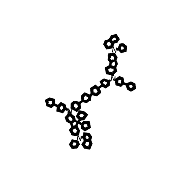 c1ccc(-c2ccc(N(c3ccc(-c4ccc(-c5ccc(-c6ccc(N(c7ccc(-c8ccccc8)cc7)c7ccc8c(c7)C(c7ccccc7)(c7ccccc7)c7cc(N(c9ccccc9)c9cccc%10ccccc9%10)ccc7-8)cc6)cc5)cc4)cc3)c3ccc4c(c3)Cc3cc(N(c5ccccc5)c5cccc6ccccc56)ccc3-4)cc2)cc1